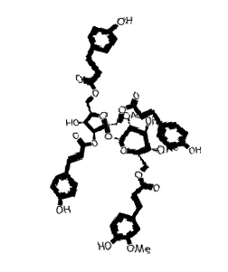 COc1cc(/C=C/C(=O)OC[C@H]2O[C@H](O[C@]3(COC(=O)/C=C/c4ccc(O)cc4)O[C@H](COC(=O)/C=C/c4ccc(O)cc4)[C@@H](O)[C@@H]3OC(=O)/C=C/c3ccc(O)cc3)[C@H](OC(C)=O)[C@@H](O)[C@@H]2OC(C)=O)ccc1O